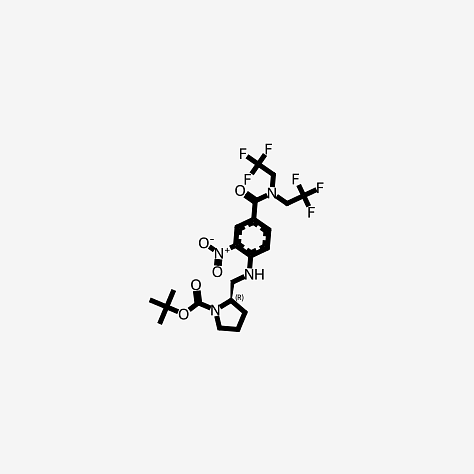 CC(C)(C)OC(=O)N1CCC[C@@H]1CNc1ccc(C(=O)N(CC(F)(F)F)CC(F)(F)F)cc1[N+](=O)[O-]